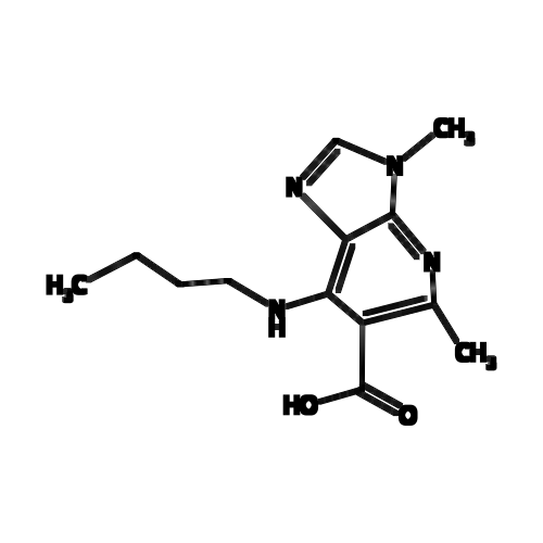 CCCCNc1c(C(=O)O)c(C)nc2c1ncn2C